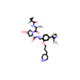 Cc1ncsc1-c1ccc(CNC(=O)[C@@H]2C[C@@H](O)CN2C(=O)[C@@H](NC(=O)C2(F)CC2)C(C)(C)C)c(OCCCC2CCNCC2)c1